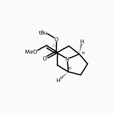 CO/C=C1/C[C@H]2CC[C@@H](C1)N2C(=O)OC(C)(C)C